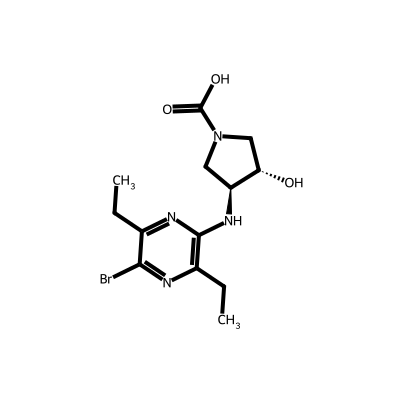 CCc1nc(N[C@H]2CN(C(=O)O)C[C@@H]2O)c(CC)nc1Br